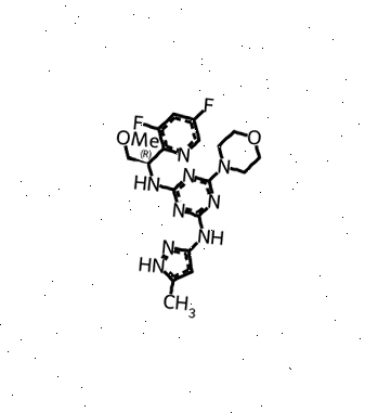 COC[C@H](Nc1nc(Nc2cc(C)[nH]n2)nc(N2CCOCC2)n1)c1ncc(F)cc1F